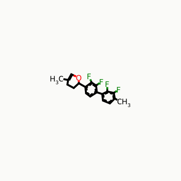 CC1=COC(c2ccc(-c3ccc(C)c(F)c3F)c(F)c2F)CC1